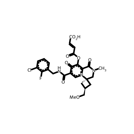 COC[C@H]1C[C@]2(CN(C)C(=O)c3c(OC(=O)/C=C/C(=O)O)c(=O)c(C(=O)NCc4cccc(Cl)c4F)cn32)C1